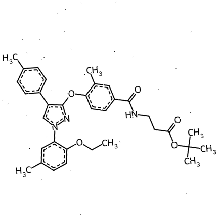 CCOc1ccc(C)cc1-n1cc(-c2ccc(C)cc2)c(Oc2ccc(C(=O)NCCC(=O)OC(C)(C)C)cc2C)n1